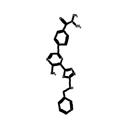 CN(C)C(=O)c1ccc(-c2cnc(N)c(-c3nnc(NCc4ccccc4)o3)n2)cc1